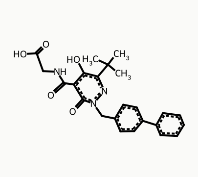 CC(C)(C)c1nn(Cc2ccc(-c3ccccc3)cc2)c(=O)c(C(=O)NCC(=O)O)c1O